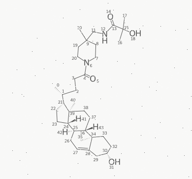 C[C@H](CCC(=O)N1CCC(C)(CNC(=O)C(C)(C)O)CC1)[C@H]1CC[C@H]2[C@@H]3CC=C4C[C@@H](O)CC[C@]4(C)[C@H]3CC[C@]12C